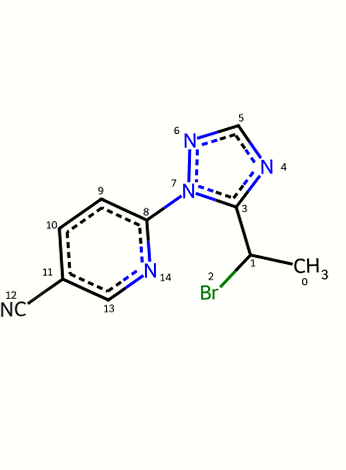 CC(Br)c1ncnn1-c1ccc(C#N)cn1